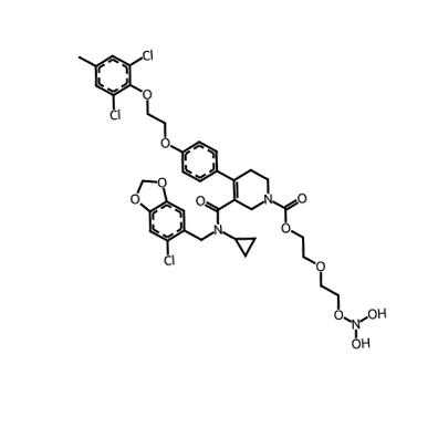 Cc1cc(Cl)c(OCCOc2ccc(C3=C(C(=O)N(Cc4cc5c(cc4Cl)OCO5)C4CC4)CN(C(=O)OCCOCCON(O)O)CC3)cc2)c(Cl)c1